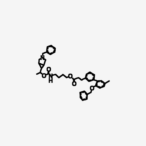 Cc1ccc(OCc2ccccc2)c(-c2cccc(CCC(=O)OCCCCNC(=O)OC(C)C3C4CN(Cc5ccccc5)CC43)c2)c1